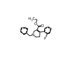 CCOC(=O)C1=C(c2ccccc2F)CCN(Cc2ccccc2)C1